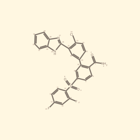 NC(=O)c1ccc(S(=O)(=O)c2ccc(F)cc2F)cc1-c1ccc(Cl)c(-c2nc3ccccc3[nH]2)c1